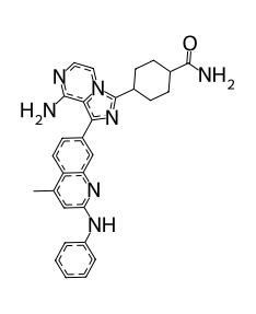 Cc1cc(Nc2ccccc2)nc2cc(-c3nc(C4CCC(C(N)=O)CC4)n4ccnc(N)c34)ccc12